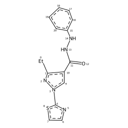 CCc1nn(-c2nccs2)cc1C(=O)NNc1ccccc1